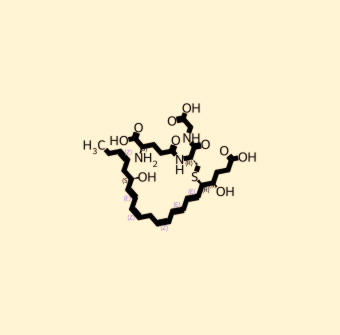 CC/C=C\C[C@H](O)/C=C/C=C\C\C=C/C=C/C=C/[C@@H](SC[C@H](NC(=O)CC[C@H](N)C(=O)O)C(=O)NCC(=O)O)[C@@H](O)CCC(=O)O